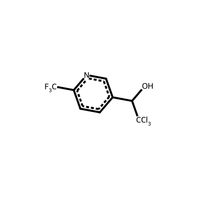 OC(c1ccc(C(F)(F)F)nc1)C(Cl)(Cl)Cl